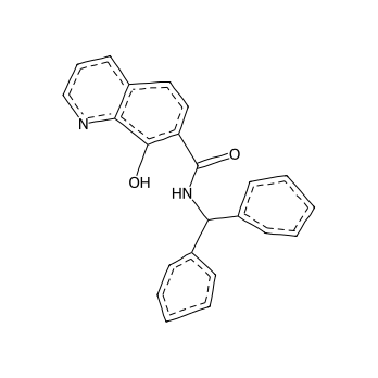 O=C(NC(c1ccccc1)c1ccccc1)c1ccc2cccnc2c1O